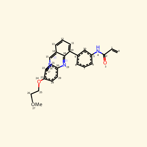 C=CC(=O)Nc1cccc(C2=CC=CC(=C/N=C)/C2=N\c2ccc(OCCOC)cc2)c1